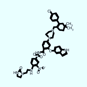 CC1(C)CCC(CN2CCN(c3ccc(C(=O)NS(=O)(=O)c4ccc(NCCN5CCNC5=O)c([N+](=O)[O-])c4)c(Oc4ccc5[nH]ccc5c4)c3)CC2)=C(c2ccc(Cl)cc2)C1